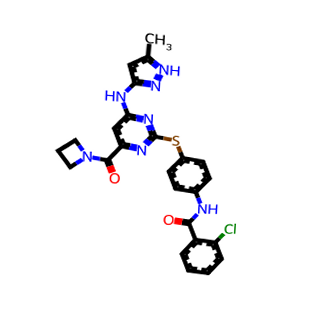 Cc1cc(Nc2cc(C(=O)N3CCC3)nc(Sc3ccc(NC(=O)c4ccccc4Cl)cc3)n2)n[nH]1